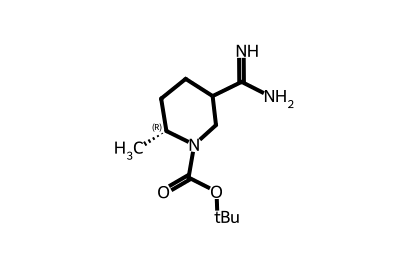 C[C@@H]1CCC(C(=N)N)CN1C(=O)OC(C)(C)C